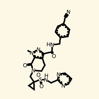 Cn1nc(C(=O)NCc2ccc(C#N)cc2)c2c1C(=O)N(CC1(S(=O)(=O)NCc3ncccn3)CC1)CC2